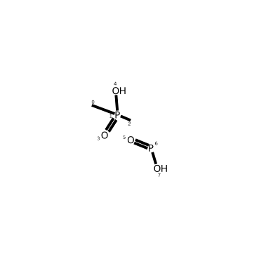 CP(C)(=O)O.O=PO